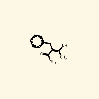 CC(N)=C(Cc1ccccc1)C(N)=O